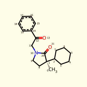 C[C@]1(C2CCCCC2)CCN(CC(=O)c2ccccc2)C1=O